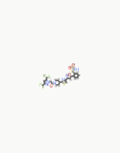 O=C(Cn1nc(C(F)F)cc1C(F)F)N1CCC(c2nc(C3=NOC(c4ccccc4CN[SH](=O)=O)C3)cs2)CC1